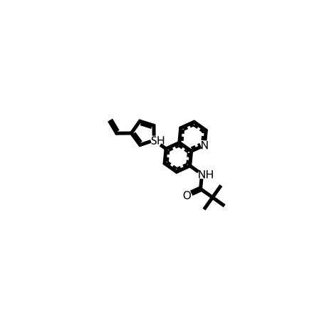 C=CC1=C[SH](c2ccc(NC(=O)C(C)(C)C)c3ncccc23)C=C1